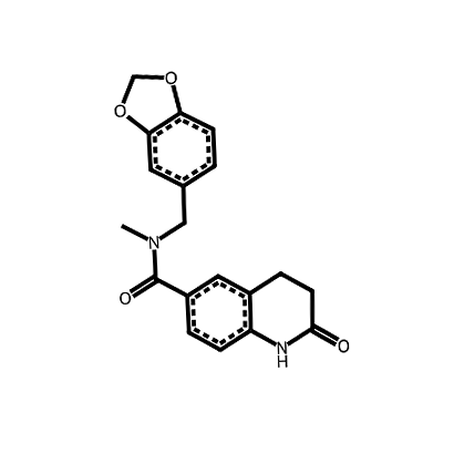 CN(Cc1ccc2c(c1)OCO2)C(=O)c1ccc2c(c1)CCC(=O)N2